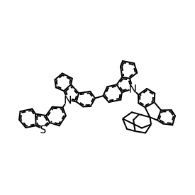 c1ccc2c(c1)-c1ccc(-n3c4ccccc4c4cc(-c5ccc6c(c5)c5ccccc5n6-c5ccc6sc7ccccc7c6c5)ccc43)cc1C21C2CC3CC(C2)CC1C3